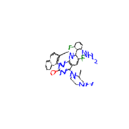 Cc1ccc2ccccc2c1-n1c(=O)nc(N2CCNC[C@@H]2C)c2cc(F)c(-c3c(N)cccc3F)nc21